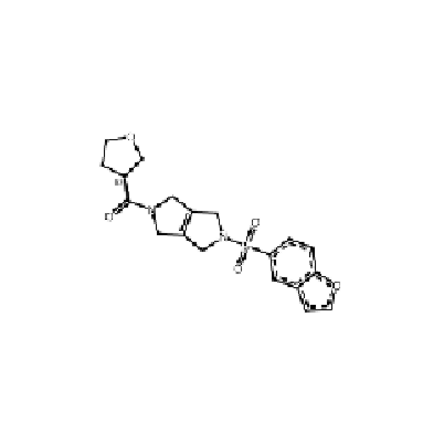 O=C([C@H]1CCOC1)N1CC2=C(C1)CN(S(=O)(=O)c1ccc3occc3c1)C2